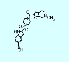 C#Cc1ccc2[nH]c(S(=O)(=O)N3CCN(C(=O)c4cc5c(o4)CN(C)CC5)CC3)cc2c1